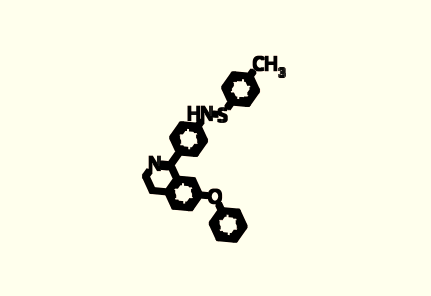 Cc1ccc(SNc2ccc(C3=NCCc4ccc(Oc5ccccc5)cc43)cc2)cc1